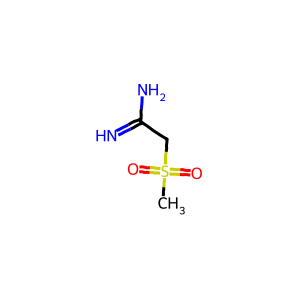 CS(=O)(=O)CC(=N)N